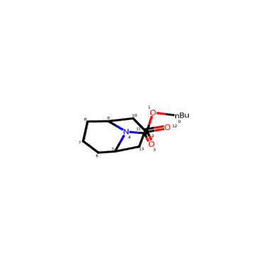 CCCCOC(=O)N1C2CCCC1CC(=O)C2